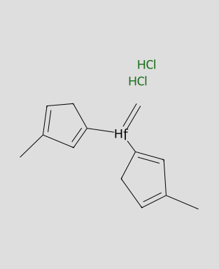 Cl.Cl.[CH2]=[Hf]([C]1=CC(C)=CC1)[C]1=CC(C)=CC1